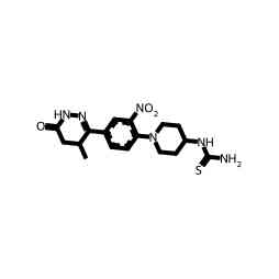 CC1CC(=O)NN=C1c1ccc(N2CCC(NC(N)=S)CC2)c([N+](=O)[O-])c1